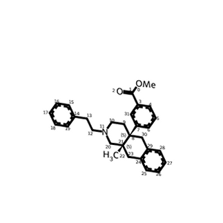 COC(=O)c1cccc([C@]23CCN(CCc4ccccc4)C[C@@]2(C)Cc2ccccc2C3)c1